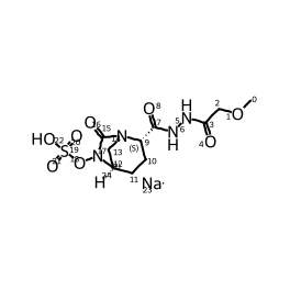 COCC(=O)NNC(=O)[C@@H]1CC[C@@H]2CN1C(=O)N2OS(=O)(=O)O.[Na]